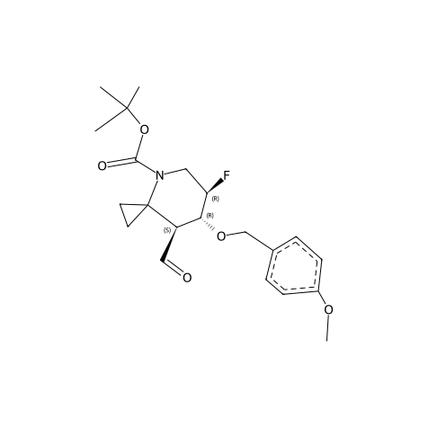 COc1ccc(CO[C@H]2[C@H](F)CN(C(=O)OC(C)(C)C)C3(CC3)[C@@H]2C=O)cc1